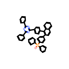 O=P(c1ccccc1)(c1ccccc1)c1ccc(-c2ccc3ccccc3c2-c2ccc(-c3nc(-c4ccccc4)nc(-c4ccccc4)n3)cc2)cc1